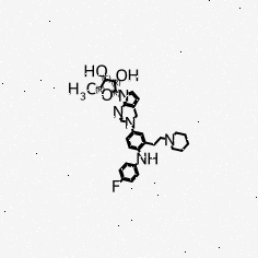 C[C@H]1O[C@@H](n2ccc3c2N=CN(c2ccc(Nc4ccc(F)cc4)c(CCN4CCCCC4)c2)C3)[C@H](O)[C@@H]1O